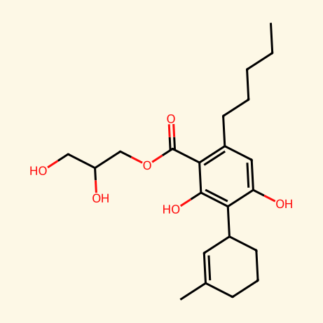 CCCCCc1cc(O)c(C2C=C(C)CCC2)c(O)c1C(=O)OCC(O)CO